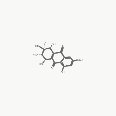 COc1cc(O)c2c(c1)C(=O)C1=C(C2=O)[C@@H](O)[C@H](OC(C)=O)[C@@](C)(O)[C@@H]1O